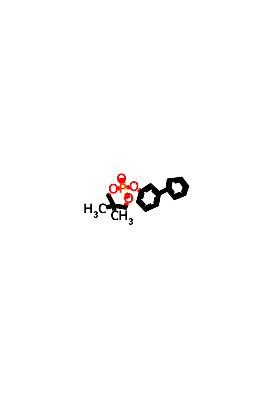 CC1(C)COP(=O)(Oc2cccc(-c3ccccc3)c2)OC1